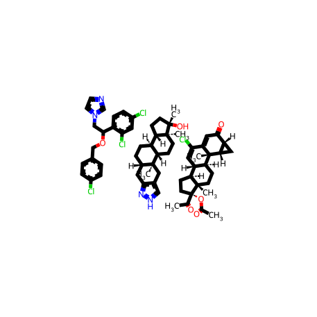 CC(=O)O[C@]1(C(C)=O)CC[C@H]2[C@@H]3C=C(Cl)C4=CC(=O)[C@@H]5C[C@@H]5[C@]4(C)[C@H]3CC[C@@]21C.C[C@]12Cc3c[nH]nc3C[C@@H]1CC[C@@H]1[C@@H]2CC[C@@]2(C)[C@H]1CC[C@]2(C)O.Clc1ccc(COC(Cn2ccnc2)c2ccc(Cl)cc2Cl)cc1